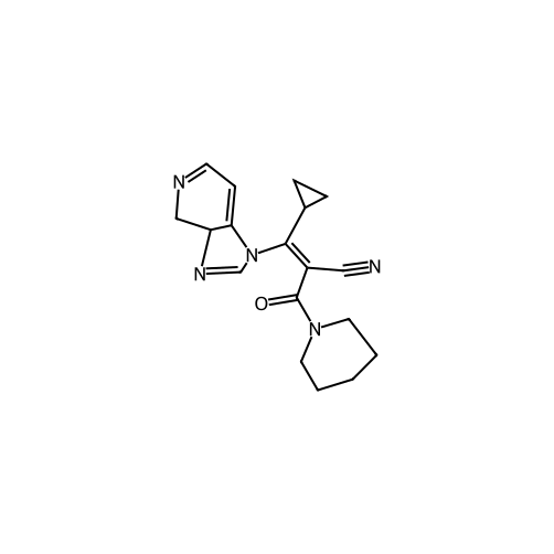 N#CC(C(=O)N1CCCCC1)=C(C1CC1)N1C=NC2CN=CC=C21